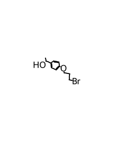 CC(O)c1ccc(OCCCBr)cc1